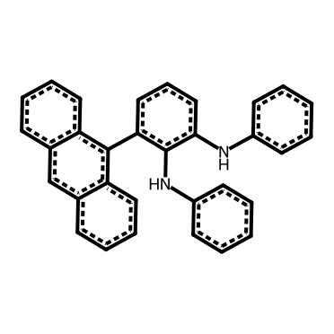 c1ccc(Nc2cccc(-c3c4ccccc4cc4ccccc34)c2Nc2ccccc2)cc1